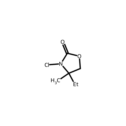 CCC1(C)COC(=O)N1Cl